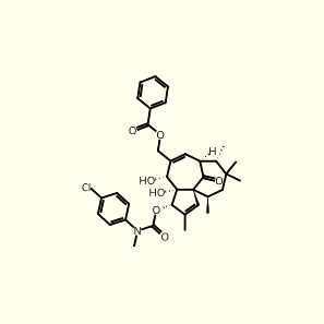 CC1=C[C@]23C(=O)[C@@H](C=C(COC(=O)c4ccccc4)[C@@H](O)[C@]2(O)[C@H]1OC(=O)N(C)c1ccc(Cl)cc1)[C@H](C)C(C)(C)C[C@H]3C